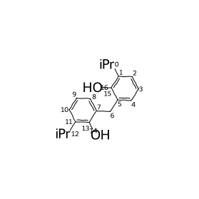 CC(C)c1cccc(Cc2cccc(C(C)C)c2O)c1O